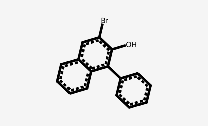 Oc1c(Br)cc2ccccc2c1-c1ccccc1